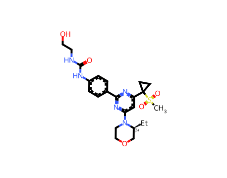 CC[C@H]1COCCN1c1cc(C2(S(C)(=O)=O)CC2)nc(-c2ccc(NC(=O)NCCO)cc2)n1